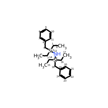 CC[Si](CC)(Cc1ccccc1)N[Si](CC)(CC)Cc1ccccc1